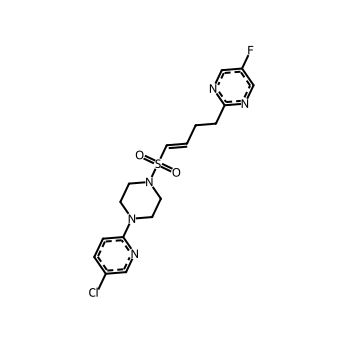 O=S(=O)(C=CCCc1ncc(F)cn1)N1CCN(c2ccc(Cl)cn2)CC1